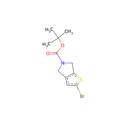 CC(C)(C)OC(=O)N1Cc2cc(Br)sc2C1